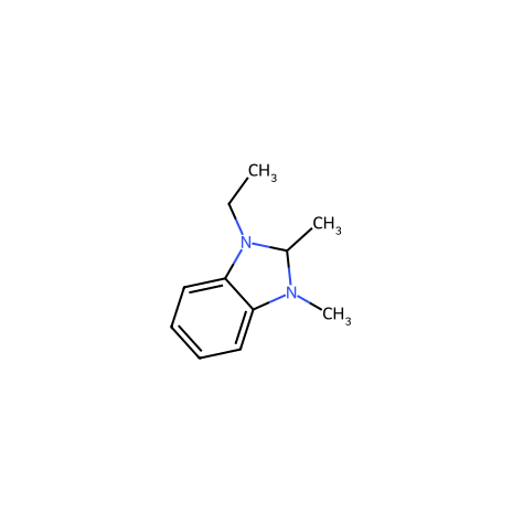 CCN1c2ccccc2N(C)C1C